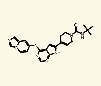 CC(C)(C)NC(=O)N1CC=C(c2cc3c(Nc4ccn5cncc5c4)ncnc3[nH]2)CC1